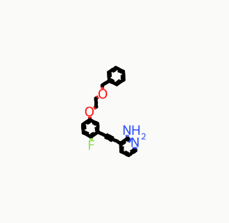 Nc1ncccc1C#Cc1cc(OCCOCc2ccccc2)ccc1F